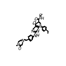 CCc1ccc(-n2cc(C(=O)NOC)c(=O)c3cnc(Nc4ccc(CCN5CCN(C)C(=O)C5)cc4)nc32)cc1